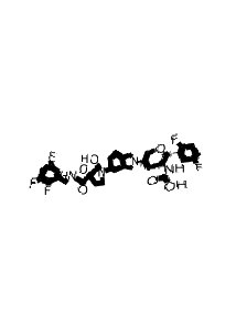 O=C(O)N[C@H]1C[C@@H](N2Cc3ccc(N4CCC(O)(C(=O)NCc5cc(F)cc(F)c5F)C4=O)cc3C2)CO[C@@H]1c1cc(F)ccc1F